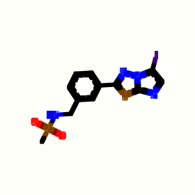 CS(=O)(=O)NCc1cccc(-c2nn3c(I)cnc3s2)c1